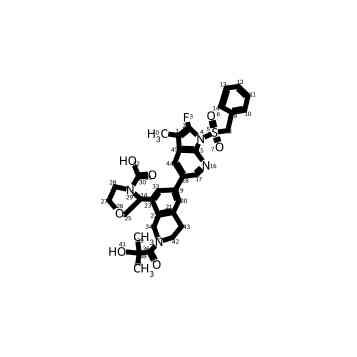 Cc1c(F)n(S(=O)(=O)Cc2ccccc2)c2ncc(-c3cc4c(c(C5COCCN5C(=O)O)c3)CN(C(=O)C(C)(C)O)CC4)cc12